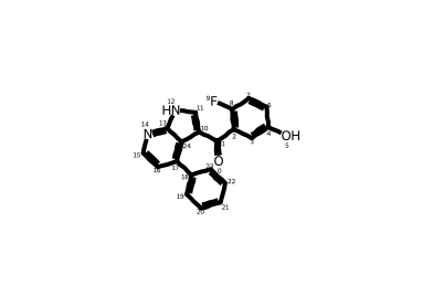 O=C(c1cc(O)ccc1F)c1c[nH]c2nccc(-c3ccccc3)c12